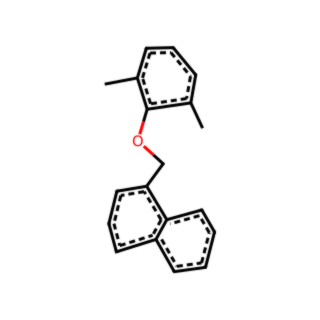 Cc1cccc(C)c1OCc1cccc2ccccc12